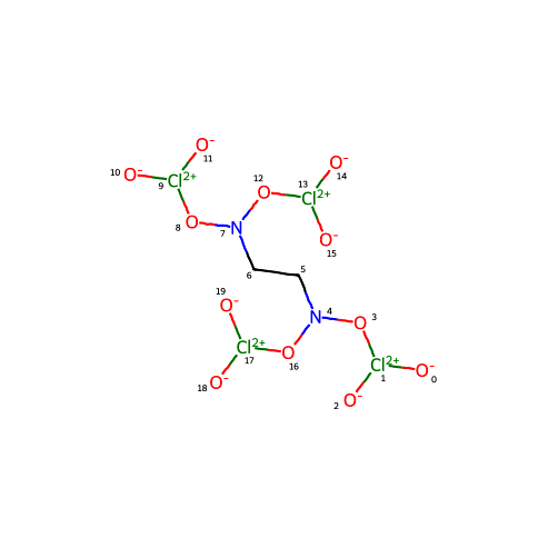 [O-][Cl+2]([O-])ON(CCN(O[Cl+2]([O-])[O-])O[Cl+2]([O-])[O-])O[Cl+2]([O-])[O-]